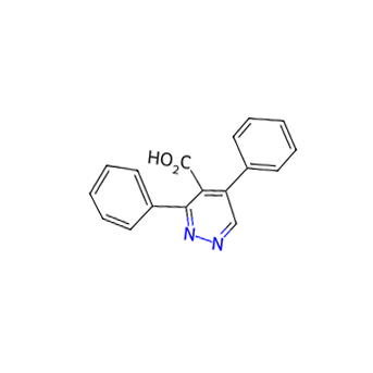 O=C(O)c1c(-c2ccccc2)cnnc1-c1ccccc1